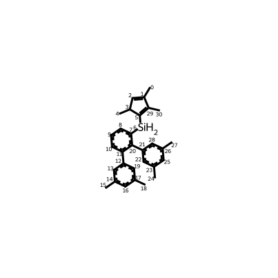 CC1=CC(C)C([SiH2]c2cccc(-c3cc(C)cc(C)c3)c2-c2cc(C)cc(C)c2)=C1C